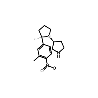 Cc1cc([C@@]2(C)CCCN2[C@H]2CCNC2)ccc1[N+](=O)[O-]